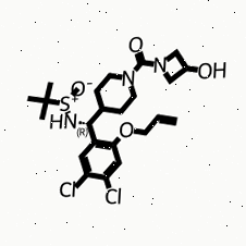 C=CCOc1cc(Cl)c(Cl)cc1[C@H](N[S+]([O-])C(C)(C)C)C1CCN(C(=O)N2CC(O)C2)CC1